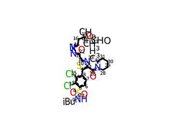 CC[C@@H](C)NS(=O)(=O)c1ccc(-c2sc(-c3nnc(CC(C)(C)OC=O)o3)nc2C(=O)N2CCCC[C@@H]2C)c(Cl)c1Cl